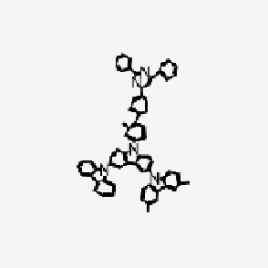 Cc1ccc2c(c1)c1cc(C)ccc1n2-c1ccc2c(c1)c1cc(-n3c4ccccc4c4ccccc43)ccc1n2-c1ccc(-c2ccc(-c3cc(-c4ccccc4)nc(-c4ccccc4)n3)cc2)c(C)c1